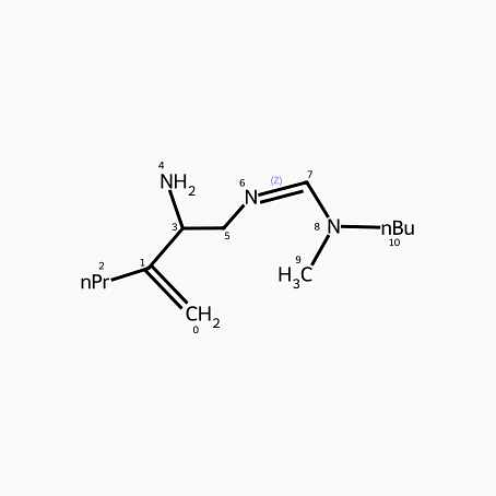 C=C(CCC)C(N)C/N=C\N(C)CCCC